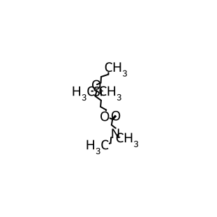 CCCCO[Si](C)(C)CCCCOC(=O)CCN(C)CCC